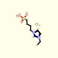 CC[n+]1ccn(CCCCS(=O)(=O)O)c1.[Cl-]